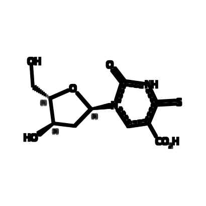 O=C(O)c1cn([C@H]2C[C@@H](O)[C@H](CO)O2)c(=O)[nH]c1=S